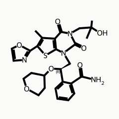 Cc1c(-c2ncco2)sc2c1c(=O)n(CC(C)(C)O)c(=O)n2C[C@H](OC1CCOCC1)c1ccccc1C(N)=O